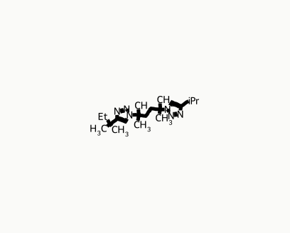 CCC(C)(C)c1cn(C(C)(C)CCC(C)(C)n2cc(C(C)C)nn2)nn1